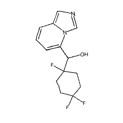 OC(c1cccc2cncn12)C1(F)CCC(F)(F)CC1